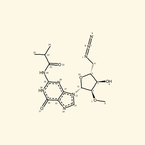 CO[C@@H]1[C@H](O)[C@@H](CN=[N+]=[N-])O[C@H]1n1cnc2c(=O)[nH]c(NC(=O)C(C)C)nc21